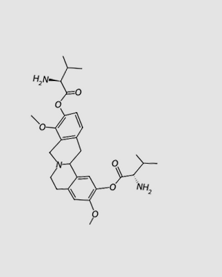 COc1cc2c(cc1OC(=O)[C@@H](N)C(C)C)C1Cc3ccc(OC(=O)[C@@H](N)C(C)C)c(OC)c3CN1CC2